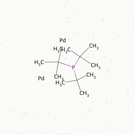 CC(C)(C)P(C(C)(C)C)C(C)(C)C.[Pd].[Pd]